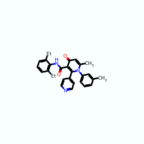 CCc1cccc(CC)c1NC(=O)c1c(-c2ccncc2)n(-c2cccc(C)c2)c(C)cc1=O